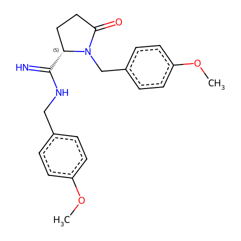 COc1ccc(CNC(=N)[C@@H]2CCC(=O)N2Cc2ccc(OC)cc2)cc1